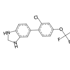 FC(F)(F)Oc1ccc(-c2ccc3c(c2)NCN3)c(Cl)c1